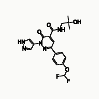 CC(C)(O)CNC(=O)c1cc(-c2ccc(OC(F)F)cc2)nn(-c2cn[nH]c2)c1=O